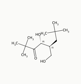 CC(C)(C)C[C@@H](CO)[C@@H](O)C(=O)C(C)(C)C